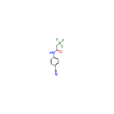 N#Cc1ccc(NC(=O)CC(F)(F)F)cc1